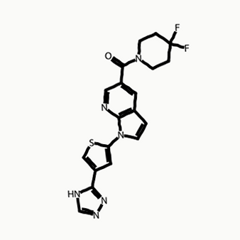 O=C(c1cnc2c(ccn2-c2cc(-c3nnc[nH]3)cs2)c1)N1CCC(F)(F)CC1